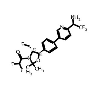 CC1(C)O[C@H](c2ccc(-c3ccc(C(N)C(F)(F)F)nc3)cc2)[C@@H](CF)N1C(=O)C(F)F